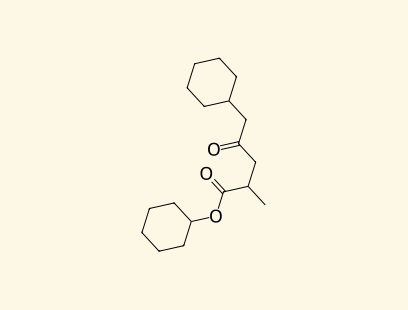 CC(CC(=O)CC1CCCCC1)C(=O)OC1CCCCC1